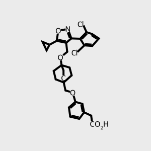 O=C(O)Cc1cccc(OCC23CCC(OCc4c(-c5c(Cl)cccc5Cl)noc4C4CC4)(CC2)CC3)c1